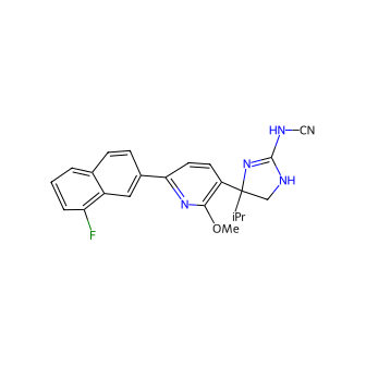 COc1nc(-c2ccc3cccc(F)c3c2)ccc1C1(C(C)C)CNC(NC#N)=N1